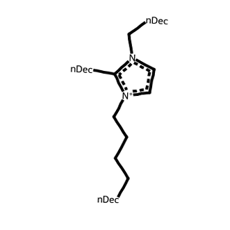 CCCCCCCCCCCCCC[n+]1ccn(CCCCCCCCCCC)c1CCCCCCCCCC